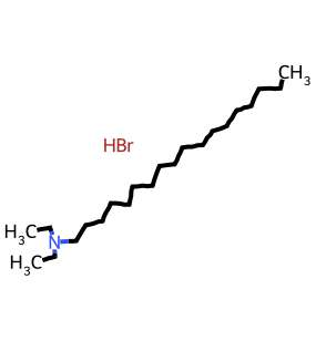 Br.CCCCCCCCCCCCCCCCCCN(CC)CC